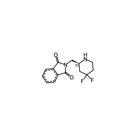 O=C1c2ccccc2C(=O)N1C[C@@H]1CC(F)(F)CCN1